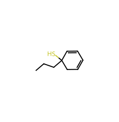 CCCC1(S)C=CC=CC1